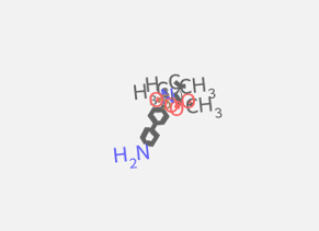 COC(=O)[C@H](C(C)C)N(C)S(=O)(=O)c1ccc(-c2ccc(N)cc2)cc1